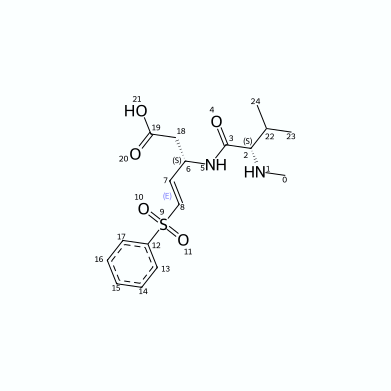 CN[C@H](C(=O)N[C@H](/C=C/S(=O)(=O)c1ccccc1)CC(=O)O)C(C)C